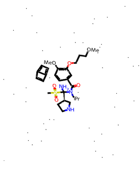 COCCCOc1cc(C(=O)N(C(C)C)C(N)([C@@H]2CCNC2)S(C)(=O)=O)ccc1OC.c1cc2ccc1-2